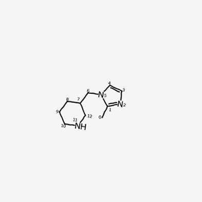 Cc1nccn1CC1CCCNC1